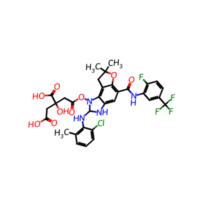 Cc1cccc(Cl)c1NC1Nc2cc(C(=O)Nc3cc(C(F)(F)F)ccc3F)c3c(c2N1OC(=O)CC(O)(CC(=O)O)C(=O)O)CC(C)(C)O3